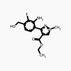 CCOC(=O)c1cn(C)nc1-c1ccc(CO)c(F)c1N